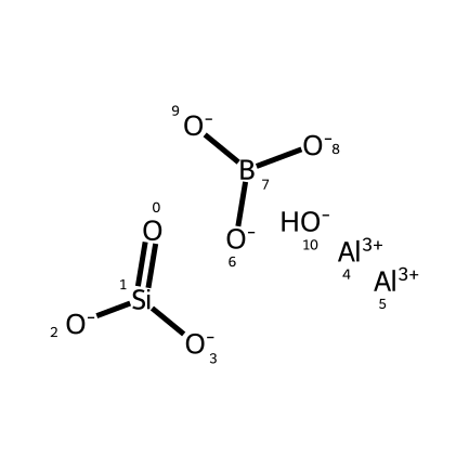 O=[Si]([O-])[O-].[Al+3].[Al+3].[O-]B([O-])[O-].[OH-]